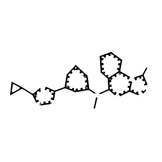 CN(c1cccc(-c2nnc(C3CC3)o2)c1)c1nc2nnc(Cl)n2c2ccccc12